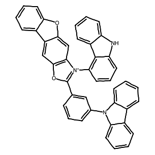 c1cc(-c2oc3cc4c(cc3[n+]2-c2cccc3[nH]c5ccccc5c23)oc2ccccc24)cc(-n2c3ccccc3c3ccccc32)c1